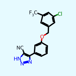 N#Cc1[nH]nnc1-c1cccc(OCc2cc(Cl)cc(C(F)(F)F)c2)c1